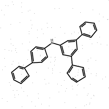 c1ccc(-c2ccc(Nc3cc(-c4ccccc4)cc(-c4ccccc4)c3)cc2)cc1